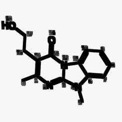 Cc1nc2n(C)c3ccccc3n2c(=O)c1CCO